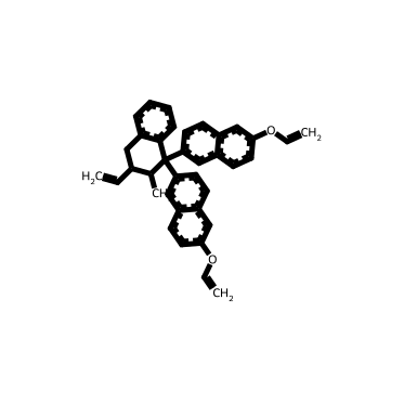 C=COc1ccc2cc(C3(c4ccc5cc(OC=C)ccc5c4)c4ccccc4CC(C=C)C3C)ccc2c1